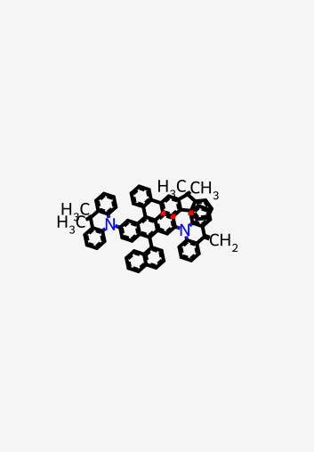 C=C1c2ccccc2N(c2ccc3c(-c4ccccc4-c4ccc5c(c4)C(C)(C)c4ccccc4-5)c4cc(N5c6ccccc6C(C)(C)c6ccccc65)ccc4c(-c4cccc5ccccc45)c3c2)c2ccccc21